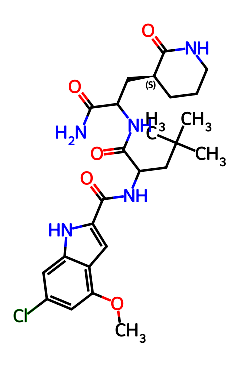 COc1cc(Cl)cc2[nH]c(C(=O)NC(CC(C)(C)C)C(=O)NC(C[C@@H]3CCCNC3=O)C(N)=O)cc12